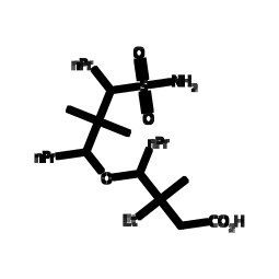 CCCC(OC(CCC)C(C)(C)C(CCC)S(N)(=O)=O)C(C)(CC)CC(=O)O